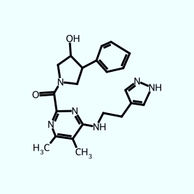 Cc1nc(C(=O)N2CC(O)C(c3ccccc3)C2)nc(NCCc2cn[nH]c2)c1C